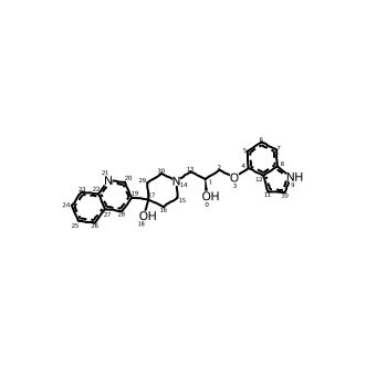 O[C@H](COc1cccc2[nH]ccc12)CN1CCC(O)(c2cnc3ccccc3c2)CC1